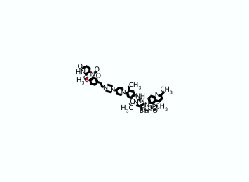 CCOc1cc(N2CCC(N3CCN(CCc4ccc(C)c5c4oc(=O)n5C4CCC(=O)NC4=O)CC3)CC2)c(CC)cc1Nc1ncc(Br)c(Nc2ccc3nc(CC)ccc3c2P(C)(C)=O)n1